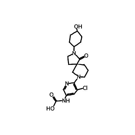 O=C(O)Nc1cnc(N2CCC[C@]3(CCN(C4CCC(O)CC4)C3=O)C2)c(Cl)c1